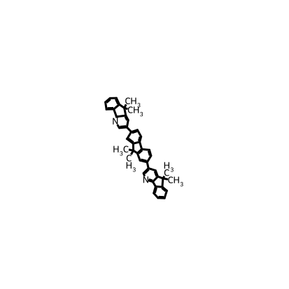 CC1(C)c2cc(-c3cnc4c(c3)C(C)(C)c3ccccc3-4)ccc2-c2ccc(-c3cnc4c(c3)C(C)(C)c3ccccc3-4)cc21